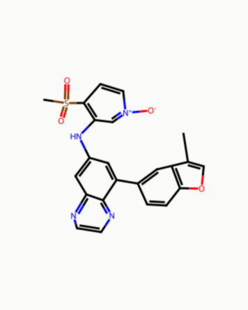 Cc1coc2ccc(-c3cc(Nc4c[n+]([O-])ccc4S(C)(=O)=O)cc4nccnc34)cc12